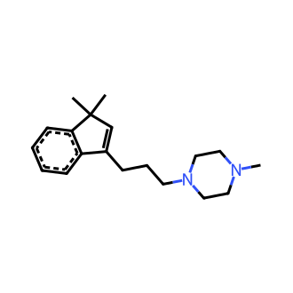 CN1CCN(CCCC2=CC(C)(C)c3ccccc32)CC1